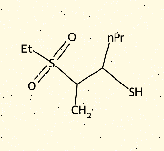 [CH2]C(C(S)CCC)S(=O)(=O)CC